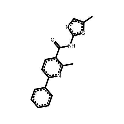 Cc1cnc(NC(=O)c2ccc(-c3ccccc3)nc2C)s1